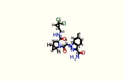 Cc1ccc2c(C(N)=O)nn(CC(=O)N3[C@@H]4C[C@@H]4C[C@H]3C(=O)NCC3CC3(Cl)Cl)c2c1